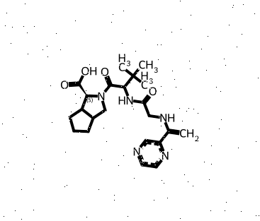 C=C(NCC(=O)NC(C(=O)N1CC2CCCC2[C@H]1C(=O)O)C(C)(C)C)c1cnccn1